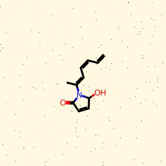 C=C/C=C\C=C(/C)N1C(=O)C=CC1O